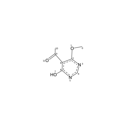 COc1ncnc(O)c1C(C)=O